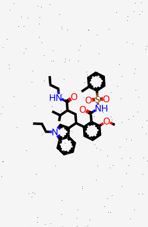 CCCNC(=O)C(CC(c1cccc(OC)c1C(=O)NS(=O)(=O)c1ccccc1C)c1cn(CCC)c2ccccc12)C(C)C